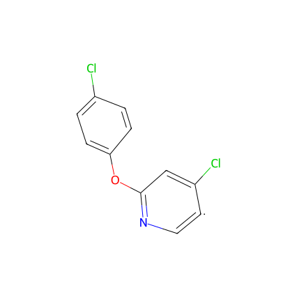 Clc1[c]cnc(Oc2ccc(Cl)cc2)c1